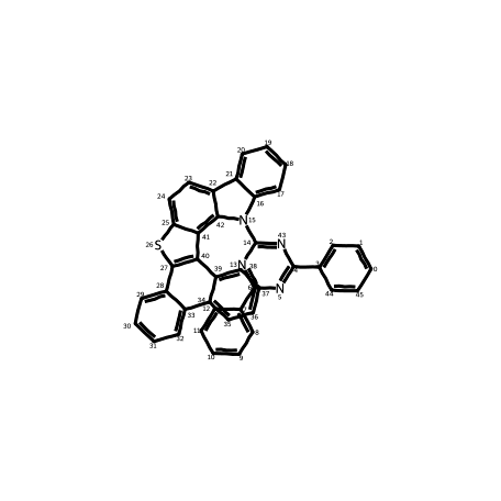 c1ccc(-c2nc(-c3ccccc3)nc(-n3c4ccccc4c4ccc5sc6c7ccccc7c7ccccc7c6c5c43)n2)cc1